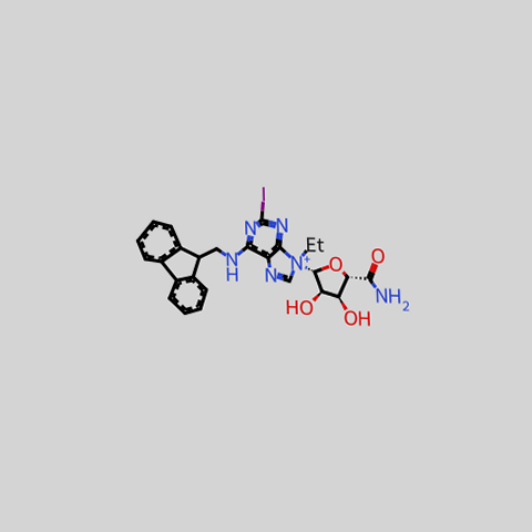 CC[N+]1([C@@H]2O[C@H](C(N)=O)[C@@H](O)[C@H]2O)C=Nc2c(NCC3c4ccccc4-c4ccccc43)nc(I)nc21